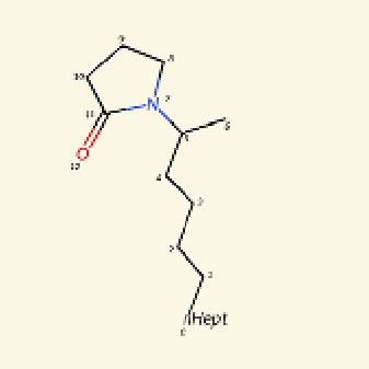 CCCCCCCCCCCC(C)N1CCCC1=O